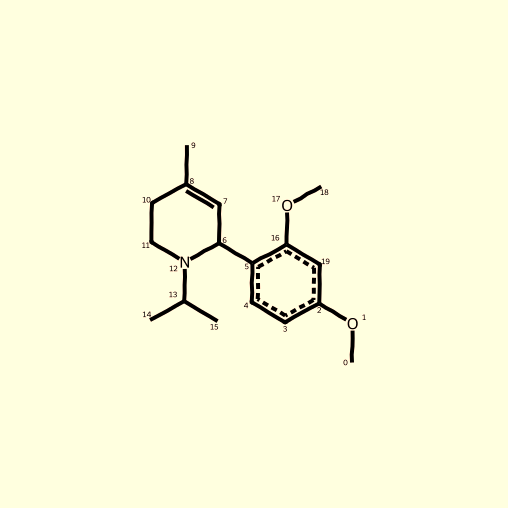 COc1ccc(C2C=C(C)CCN2C(C)C)c(OC)c1